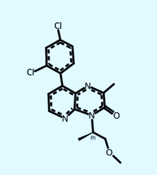 COC[C@@H](C)n1c(=O)c(C)nc2c(-c3ccc(Cl)cc3Cl)ccnc21